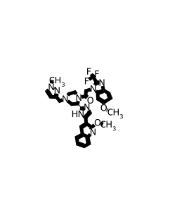 COc1ccc2nc(C(F)(F)F)n(CC(=O)N3CCN(Cc4ccn(C)n4)C[C@H]3c3ncc(-c4cc5ccccc5nc4OC)[nH]3)c2c1